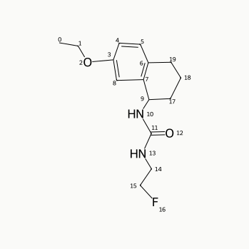 CCOc1ccc2c(c1)C(NC(=O)NCCF)CCC2